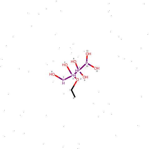 CCO[PH](O)(PO)[PH](O)(O)P(O)O